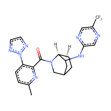 Cc1ccc(-n2nccn2)c(C(=O)N2CC3CC[C@H]2[C@@H](Nc2cnc(C(F)(F)F)cn2)C3)n1